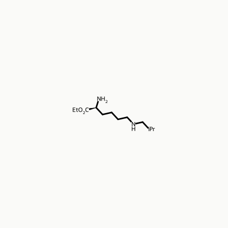 CCOC(=O)[C@@H](N)CCCCNCC(C)C